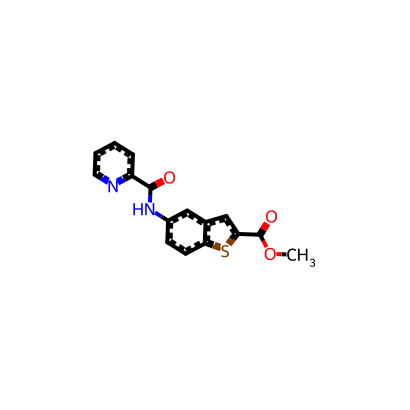 COC(=O)c1cc2cc(NC(=O)c3ccccn3)ccc2s1